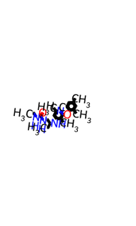 CCNC(=O)NCC(CC)Nc1cc(C)nc(Oc2c(C)cc(C)cc2C)c1C